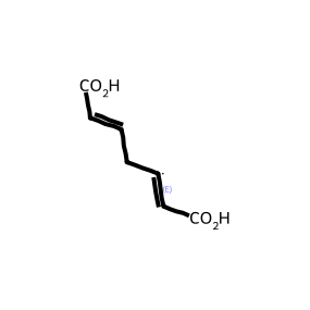 O=C(O)C=CC/[C]=C/C(=O)O